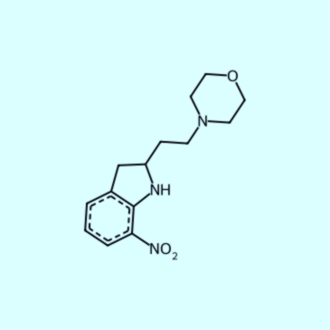 O=[N+]([O-])c1cccc2c1NC(CCN1CCOCC1)C2